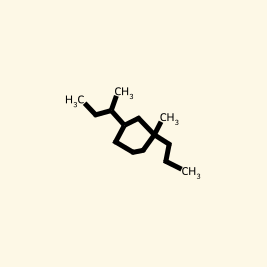 CCCC1(C)CCCC(C(C)CC)C1